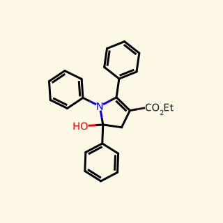 CCOC(=O)C1=C(c2ccccc2)N(c2ccccc2)C(O)(c2ccccc2)C1